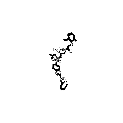 Cc1cccc(C)c1OCC(=O)NC[C@H](O)CN(CC(C)C)S(=O)(=O)c1ccc2nc(NCc3ccccn3)sc2c1